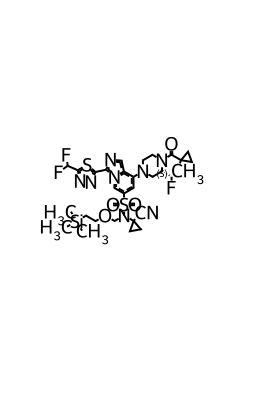 CC1(C(=O)N2CCN(c3cc(S(=O)(=O)N(COCC[Si](C)(C)C)C4(C#N)CC4)cn4c(-c5nnc(C(F)F)s5)ncc34)C[C@H]2CF)CC1